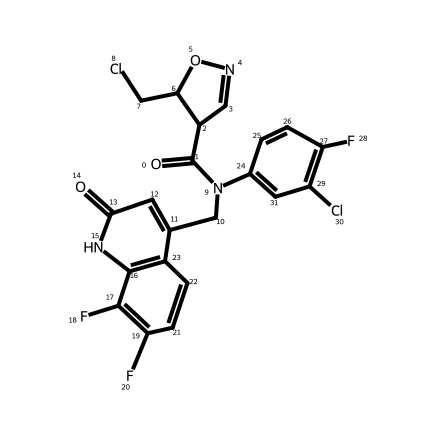 O=C(C1C=NOC1CCl)N(Cc1cc(=O)[nH]c2c(F)c(F)ccc12)c1ccc(F)c(Cl)c1